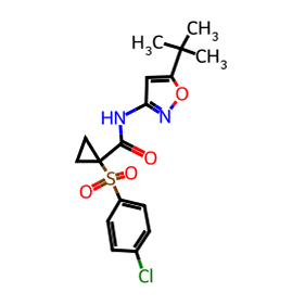 CC(C)(C)c1cc(NC(=O)C2(S(=O)(=O)c3ccc(Cl)cc3)CC2)no1